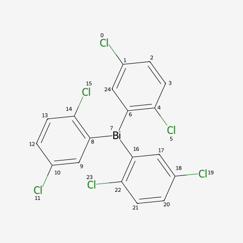 Clc1ccc(Cl)[c]([Bi]([c]2cc(Cl)ccc2Cl)[c]2cc(Cl)ccc2Cl)c1